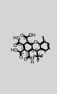 Cc1cccc2c1Oc1c(C(=O)O)c(C(=O)O)c(C(=O)O)c(C(=O)O)c1C2C(F)(F)F